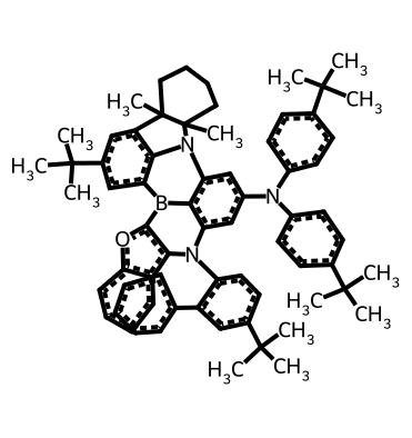 CC(C)(C)c1ccc(N(c2ccc(C(C)(C)C)cc2)c2cc3c4c(c2)N2c5c(cc(C(C)(C)C)cc5C5(C)CCCCC25C)B4c2oc4ccccc4c2N3c2ccc(C(C)(C)C)cc2-c2ccccc2)cc1